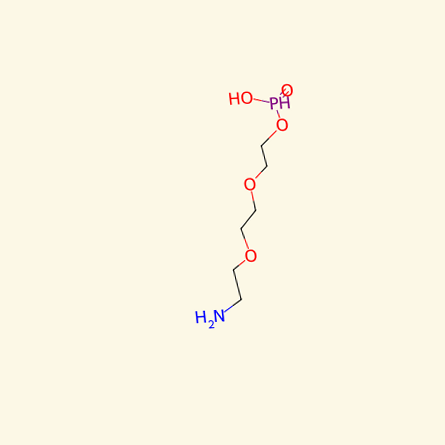 NCCOCCOCCO[PH](=O)O